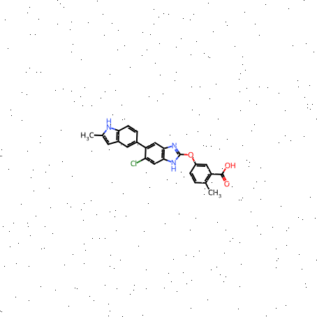 Cc1cc2cc(-c3cc4nc(Oc5ccc(C)c(C(=O)O)c5)[nH]c4cc3Cl)ccc2[nH]1